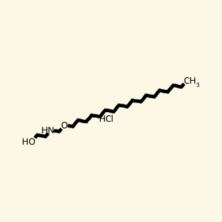 CCCCCCCCCCCCCCCCCCOCNCCO.Cl